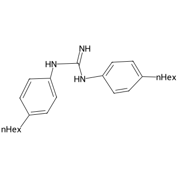 CCCCCCc1ccc(NC(=N)Nc2ccc(CCCCCC)cc2)cc1